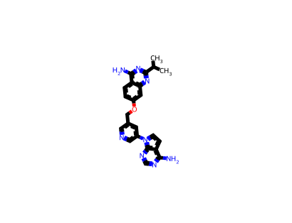 CC(C)c1nc(N)c2ccc(OCc3cncc(-n4ccc5c(N)ncnc54)c3)cc2n1